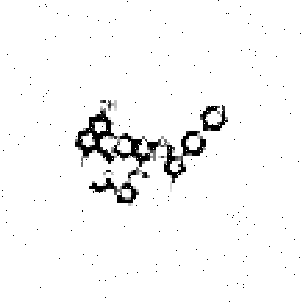 C#Cc1c(F)ccc2cc(O)cc(N3CCc4c(nc(OC[C@]5(C)C[C@@H](F)CN5C5CCN(C6CCOCC6)CC5)nc4N(C)C[C@@H]4CCCN4C(=O)C=C)C3)c12